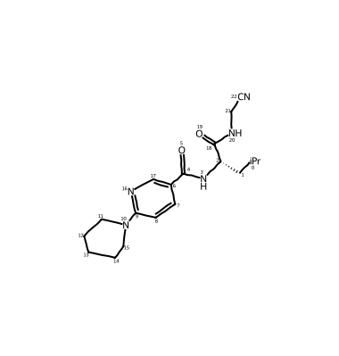 CC(C)C[C@H](NC(=O)c1ccc(N2CCCCC2)nc1)C(=O)NCC#N